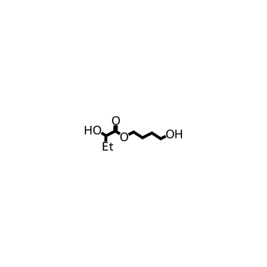 CCC(O)C(=O)OCCCCO